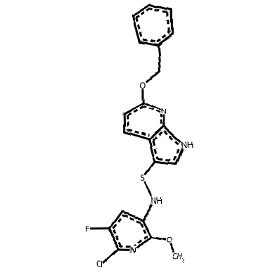 COc1nc(Cl)c(F)cc1NSc1c[nH]c2nc(OCc3ccccc3)ccc12